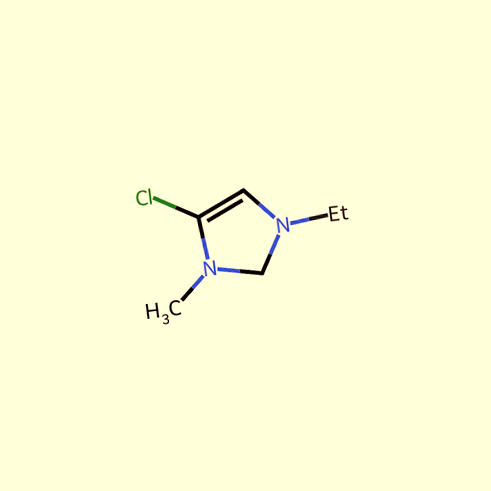 CCN1C=C(Cl)N(C)C1